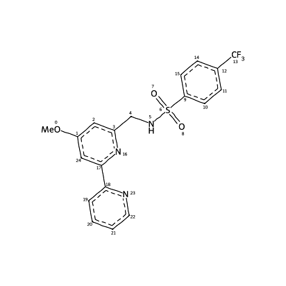 COc1cc(CNS(=O)(=O)c2ccc(C(F)(F)F)cc2)nc(-c2ccccn2)c1